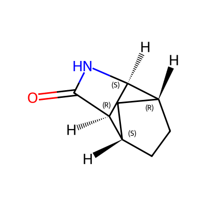 O=C1N[C@H]2[C@@H]3CC[C@@H](C3)[C@@H]12